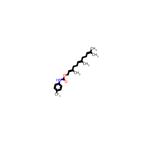 CC(C)=CCC/C(C)=C/CC/C(C)=C/COC(=O)Nc1ccc(C(F)(F)F)cc1